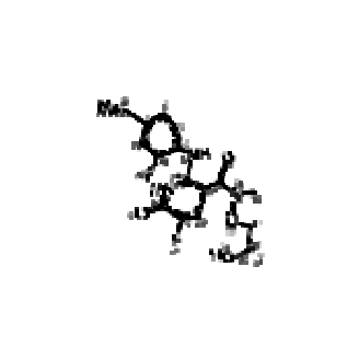 CSc1ccc(Nc2[nH]c(=O)c(F)cc2C(=O)N(C)OC[C@H](C)O)c(F)c1